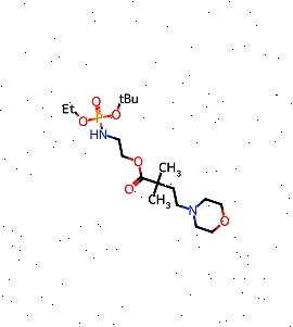 CCOP(=O)(NCCOC(=O)C(C)(C)CCN1CCOCC1)OC(C)(C)C